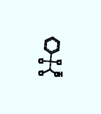 OC(Cl)C(Cl)(Cl)c1ccccc1